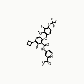 COC(=O)c1cc(NC(=O)c2c(Oc3ccc(OC(F)(F)F)c(F)c3OC)ccc(C3CCC3)c2F)ccn1